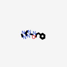 c1ccc(CC2COC(c3ncc4nccnc4n3)=N2)cc1